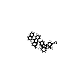 CC12CCCCC1(C)N(c1ccc(C#N)cc1)c1ccc(-c3c4ccccc4c(-c4cccc5ccccc45)c4ccccc34)cc12